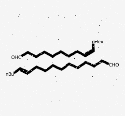 CCCC/C=C/CCCCCCCCCC=O.CCCCCC/C=C\CCCCCCCC=O